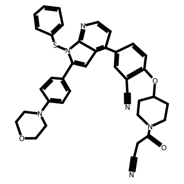 N#CCC(=O)N1CCC(Oc2ccc(-c3ccnc4c3cc(-c3ccc(N5CCOCC5)cc3)n4Sc3ccccc3)cc2C#N)CC1